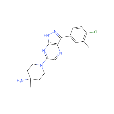 Cc1cc(-c2n[nH]c3nc(N4CCC(C)(N)CC4)cnc23)ccc1Cl